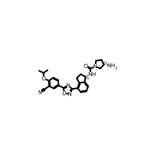 CC(C)Oc1ccc(-c2nc(-c3cccc4c3CC[C@@H]4NC(=O)N3CC[C@H](N)C3)no2)cc1C#N